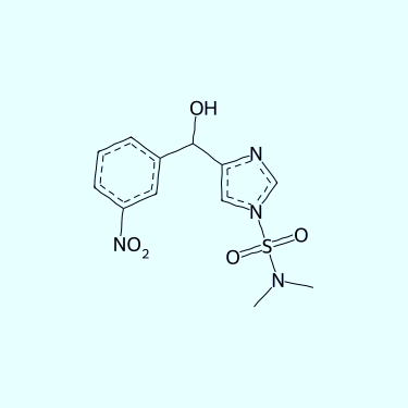 CN(C)S(=O)(=O)n1cnc(C(O)c2cccc([N+](=O)[O-])c2)c1